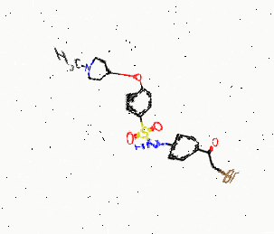 CN1CCC(Oc2ccc(S(=O)(=O)Nc3ccc(C(=O)CBr)cc3)cc2)CC1